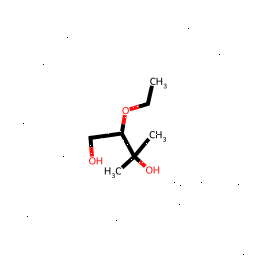 CCOC(CO)C(C)(C)O